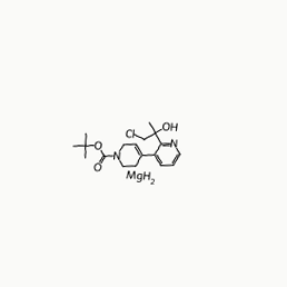 CC(C)(C)OC(=O)N1CC=C(c2cccnc2C(C)(O)CCl)CC1.[MgH2]